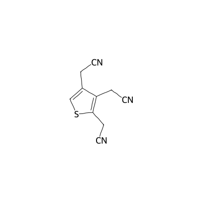 N#CCc1csc(CC#N)c1CC#N